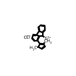 CC1=C(c2cccc3c2[CH]([Ti+2])c2ccccc2-3)C(C)C=C1.[Cl-].[Cl-]